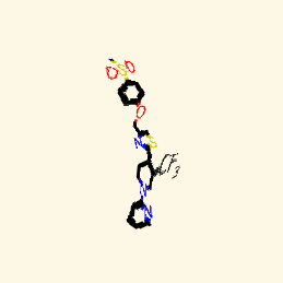 CS(=O)(=O)c1ccc(OCc2csc(C3CCN(c4ccccn4)CC3C(F)(F)F)n2)cc1